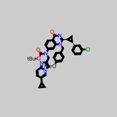 COc1ccc(Cn2c([C@H]3C[C@@H]3c3cccc(Cl)c3)nc(=O)c3ccc(N(Cc4cn5cc(C6CC6)ccc5n4)C(=O)OC(C)(C)C)cc32)cc1